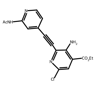 CCOC(=O)c1cc(Cl)nc(C#Cc2ccnc(NC(C)=O)c2)c1N